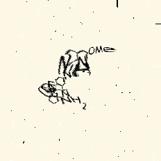 COc1cnc2c(Nc3ccc(F)c(C4(C)CS(=O)(=O)C5(CCCC5)C(N)=N4)c3)nccc2c1